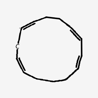 [C]1=CCCC=CC=CCCCC=CC1